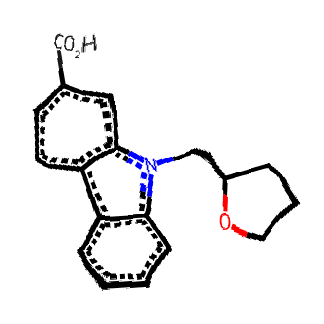 O=C(O)c1ccc2c3ccccc3n(CC3CCCO3)c2c1